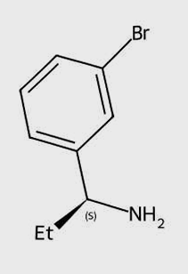 CC[C@H](N)c1cccc(Br)c1